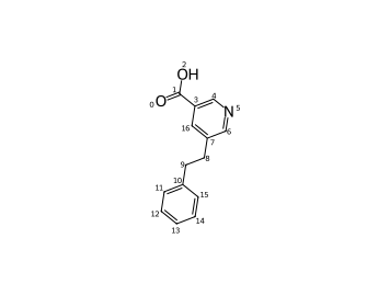 O=C(O)c1cncc(CCc2ccccc2)c1